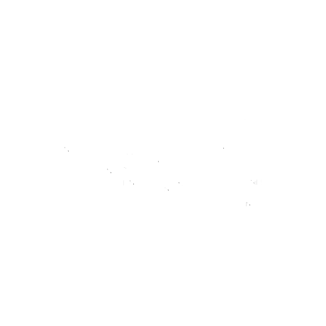 Cc1cccc(-c2[nH]ncc2-c2ccc3nc(NC(=O)Nc4cccnc4)nn3c2)n1